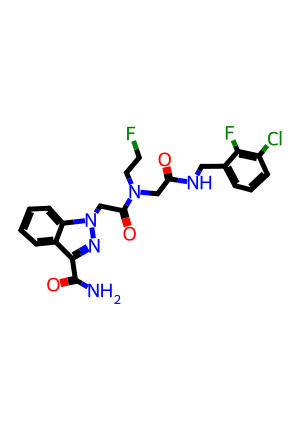 NC(=O)c1nn(CC(=O)N(CCF)CC(=O)NCc2cccc(Cl)c2F)c2ccccc12